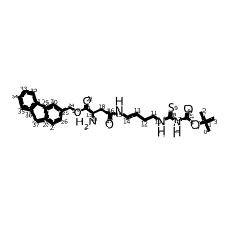 CC(C)(C)OC(=O)NC(=S)NCCCCNC(=O)CC(N)C(=O)OCc1ccc2c(c1)-c1ccccc1C2